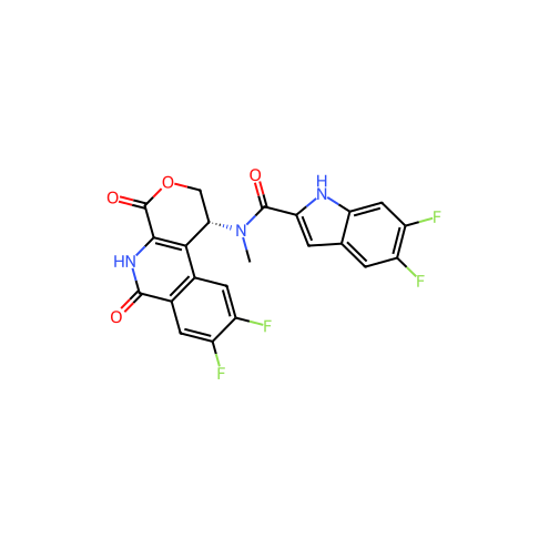 CN(C(=O)c1cc2cc(F)c(F)cc2[nH]1)[C@H]1COC(=O)c2[nH]c(=O)c3cc(F)c(F)cc3c21